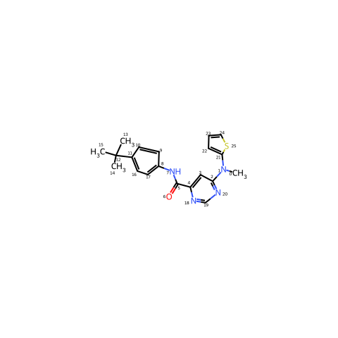 CN(c1cc(C(=O)Nc2ccc(C(C)(C)C)cc2)ncn1)c1cccs1